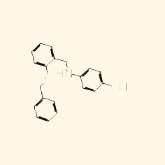 Cc1ccc(NCc2ccccc2OCc2ccccc2)cc1